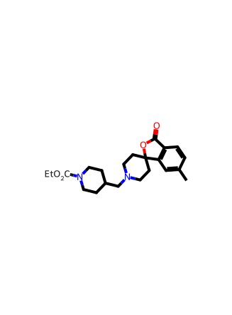 CCOC(=O)N1CCC(CN2CCC3(CC2)OC(=O)c2ccc(C)cc23)CC1